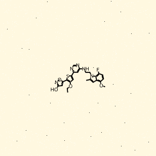 CCOc1cc(-c2cc(NCCn3c(C)cc4c(OC)ccc(F)c43)ncn2)sc1-c1cc(O)no1